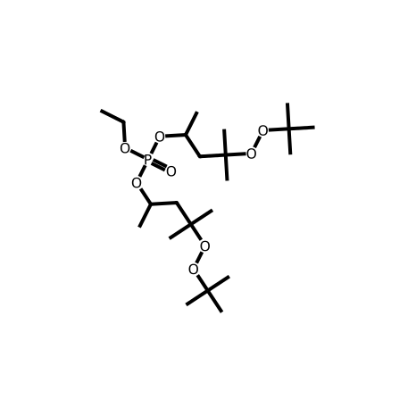 CCOP(=O)(OC(C)CC(C)(C)OOC(C)(C)C)OC(C)CC(C)(C)OOC(C)(C)C